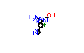 Nc1nc(NCCO)c2c(F)cc(-c3cc[nH]n3)cc2n1